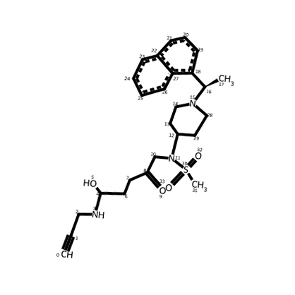 C#CCNC(O)CCC(=O)CN(C1CCN([C@H](C)c2cccc3ccccc23)CC1)S(C)(=O)=O